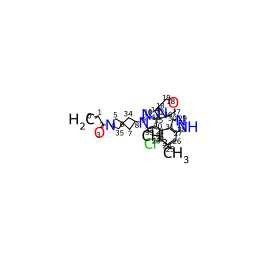 C=CC(=O)N1CC2(CC(n3nc(N4C5CCC4COC5)c(-c4c(Cl)c(C)cc5[nH]ncc45)c3C)C2)C1